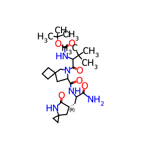 CC(C)(C)OC(=O)NC(C(=O)N1CC2(CCC2)CC1C(=O)NC(C[C@@H]1CC2(CC2)NC1=O)C(N)=O)C(C)(C)C